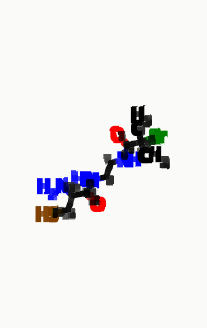 CC(C)(Br)C(=O)NCCNC(=O)C(N)CS